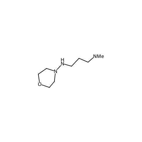 CNCCCNN1CCOCC1